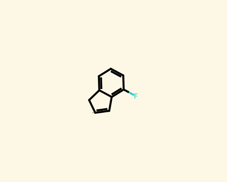 Fc1cccc2c1C=[C]C2